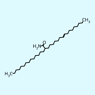 CCCCCCCCC=CCCCCCCC(CCCCCCCCCCCCCC)C(N)=O